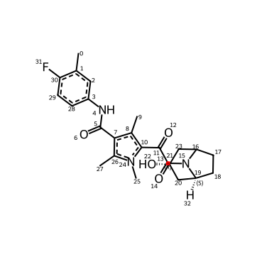 Cc1cc(NC(=O)c2c(C)c(C(=O)C(=O)N3C4CC[C@H]3C[C@H](O)C4)n(C)c2C)ccc1F